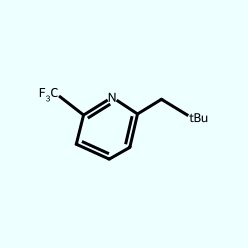 CC(C)(C)Cc1cccc(C(F)(F)F)n1